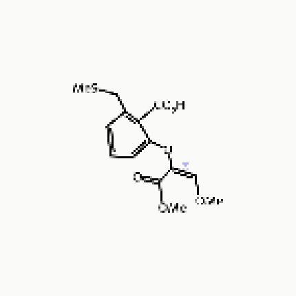 CO/C=C(/Oc1cccc(CSC)c1C(=O)O)C(=O)OC